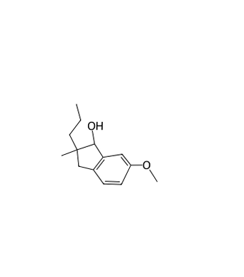 CCCC1(C)Cc2ccc(OC)cc2C1O